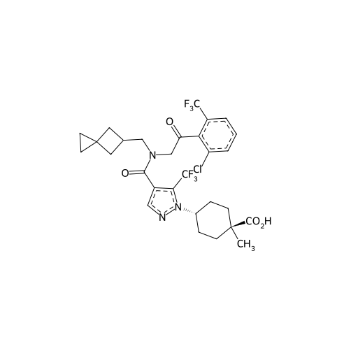 C[C@]1(C(=O)O)CC[C@H](n2ncc(C(=O)N(CC(=O)c3c(Cl)cccc3C(F)(F)F)CC3CC4(CC4)C3)c2C(F)(F)F)CC1